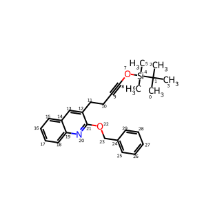 CC(C)(C)[Si](C)(C)OC#CCCc1cc2ccccc2nc1OCc1ccccc1